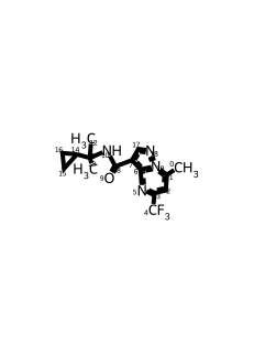 Cc1cc(C(F)(F)F)nc2c(C(=O)NC(C)(C)C3CC3)cnn12